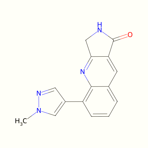 Cn1cc(-c2cccc3cc4c(nc23)CNC4=O)cn1